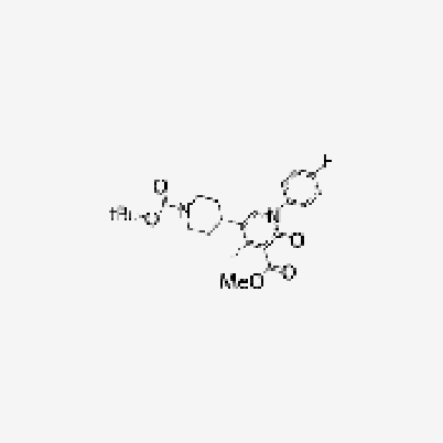 COC(=O)c1c(C)c(C2CCN(C(=O)OC(C)(C)C)CC2)cn(-c2ccc(F)cc2)c1=O